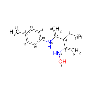 C=C(NO)C(CC(C)C)C(=C)Nc1ccc(C)cc1